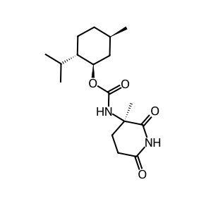 CC(C)[C@@H]1CC[C@@H](C)C[C@H]1OC(=O)N[C@]1(C)CCC(=O)NC1=O